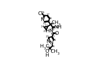 CC(C)(O)Cn1cc(C(=O)NC(=N)C(C)(c2ccc(Cl)nc2)C2CC2)cn1